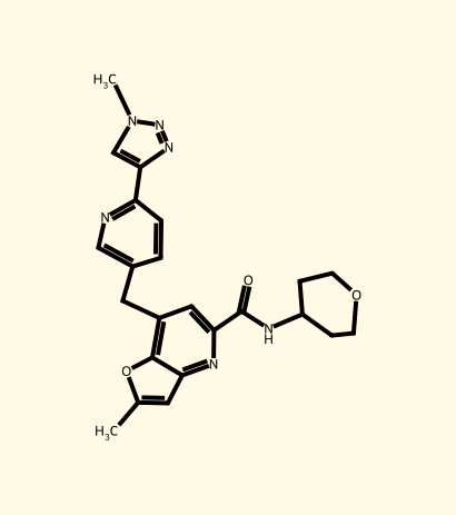 Cc1cc2nc(C(=O)NC3CCOCC3)cc(Cc3ccc(-c4cn(C)nn4)nc3)c2o1